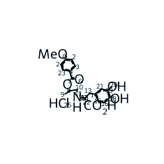 COc1ccc(C(=O)OC(C)CN[C@@H](Cc2ccc(O)c(O)c2)C(=O)O)cc1.Cl